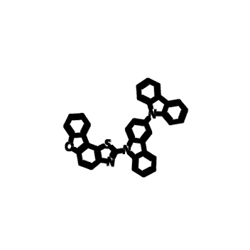 c1ccc2c(c1)oc1ccc3nc(-n4c5ccccc5c5cc(-n6c7ccccc7c7ccccc76)ccc54)sc3c12